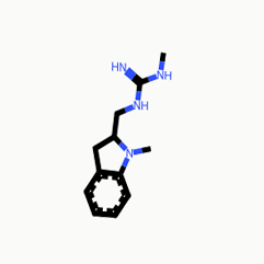 CNC(=N)NCC1Cc2ccccc2N1C